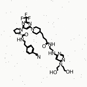 N#Cc1ccc(CCNC(=O)[C@@H]2CCCN2c2cc(N3CCC(CCCC(=O)NCCNc4cc(N(CCO)CCO)ncn4)CC3)nc(C(F)(F)F)n2)cc1